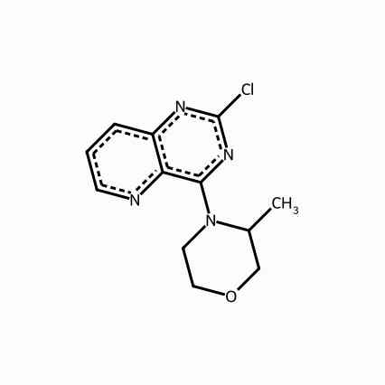 CC1COCCN1c1nc(Cl)nc2cccnc12